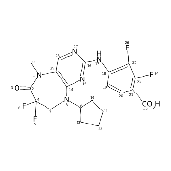 CN1C(=O)C(F)(F)CN(C2CCCC2)c2nc(Nc3ccc(C(=O)O)c(F)c3F)ncc21